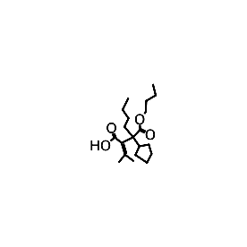 CCCCOC(=O)C(CCCC)(C(C(=O)O)=C(C)C)C1CCCC1